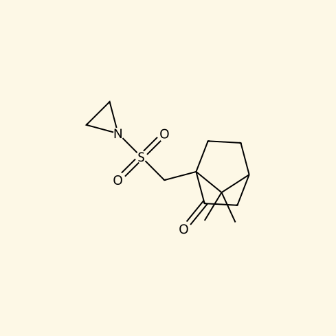 CC1(C)C2CCC1(CS(=O)(=O)N1CC1)C(=O)C2